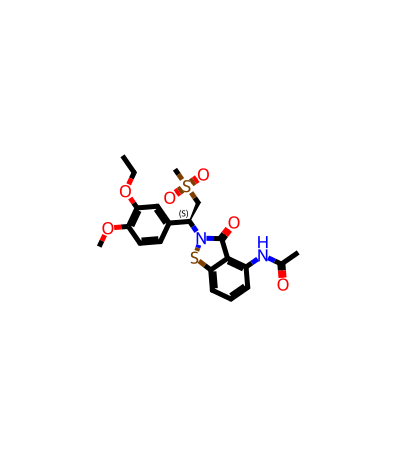 CCOc1cc([C@@H](CS(C)(=O)=O)n2sc3cccc(NC(C)=O)c3c2=O)ccc1OC